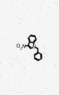 O=[N+]([O-])c1cn(Cc2ccccc2)c2ccccc12